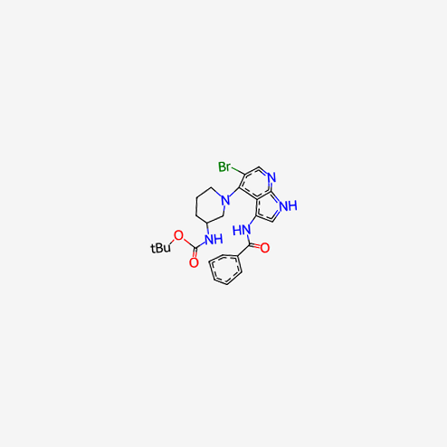 CC(C)(C)OC(=O)NC1CCCN(c2c(Br)cnc3[nH]cc(NC(=O)c4ccccc4)c23)C1